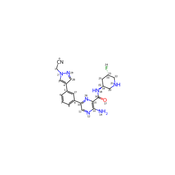 N#CCn1cc(-c2cccc(-c3cnc(N)c(C(=O)N[C@@H]4CNC[C@@H](F)C4)n3)c2)cn1